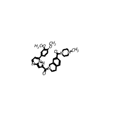 COc1ccc(-c2ccnc3cc(C(=O)N4CCc5ccc(C(=O)N6CCN(C)CC6)cc5C4)nn23)cc1OC